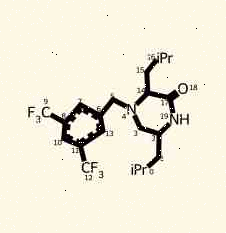 CC(C)CC1CN(Cc2cc(C(F)(F)F)cc(C(F)(F)F)c2)C(CC(C)C)C(=O)N1